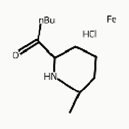 CCCCC(=O)C1CCCC(C)N1.Cl.[Fe]